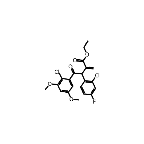 C=C(C(=O)OCC)C(C(=O)c1cc(OC)cc(OC)c1Cl)c1ccc(F)cc1Cl